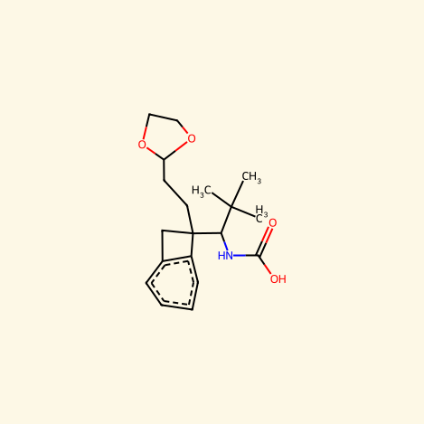 CC(C)(C)C(NC(=O)O)C1(CCC2OCCO2)Cc2ccccc21